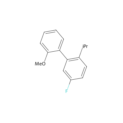 COc1ccccc1-c1cc(F)ccc1C(C)C